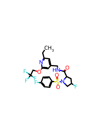 CCc1cc(CNC(=O)C2CC(F)CN2S(=O)(=O)c2ccc(F)cc2)cc(OCC(F)(F)F)n1